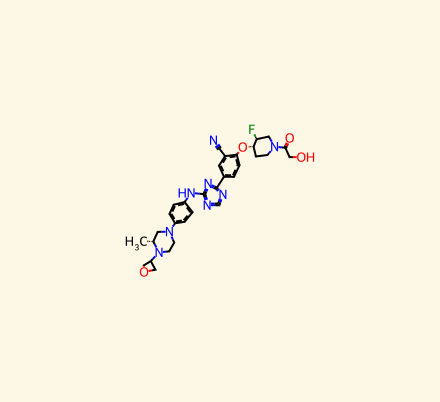 C[C@@H]1CN(c2ccc(Nc3ncnc(-c4ccc(O[C@H]5CCN(C(=O)CO)C[C@@H]5F)c(C#N)c4)n3)cc2)CCN1C1COC1